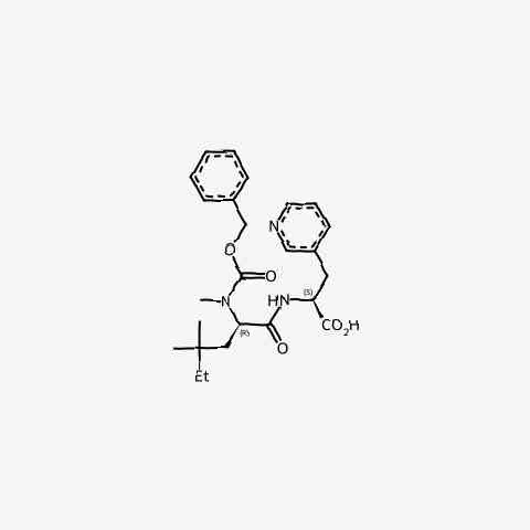 CCC(C)(C)C[C@H](C(=O)N[C@@H](Cc1cccnc1)C(=O)O)N(C)C(=O)OCc1ccccc1